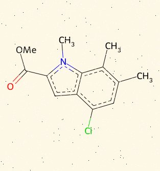 COC(=O)c1cc2c(Cl)cc(C)c(C)c2n1C